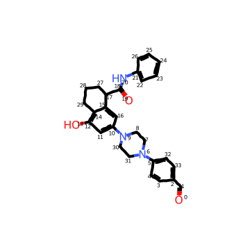 O=Cc1ccc(N2CCN(c3cc(O)c4c(c3)C(C(=O)Nc3ccccc3)CCC4)CC2)cc1